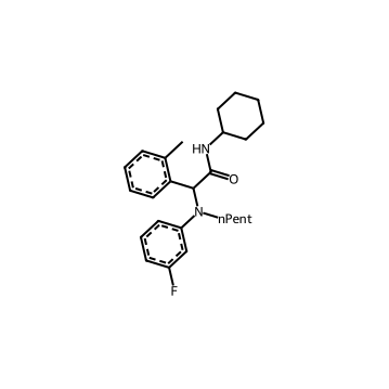 CCCCCN(c1cccc(F)c1)C(C(=O)NC1CCCCC1)c1ccccc1C